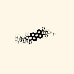 CCN1C(=O)c2ccc3c4ccc5c6c(ccc(c7ccc(c2c37)C1=O)c64)C(=O)N(CC[N+](C)(C)C)C5=O